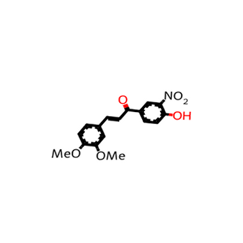 COc1ccc(C=CC(=O)c2ccc(O)c([N+](=O)[O-])c2)cc1OC